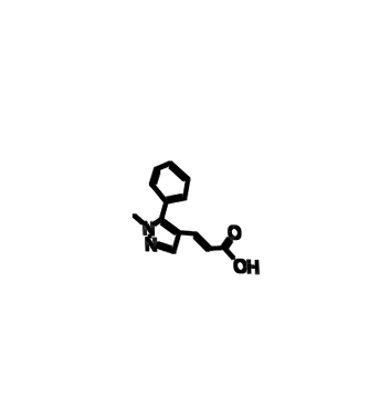 Cn1ncc(/C=C/C(=O)O)c1-c1ccccc1